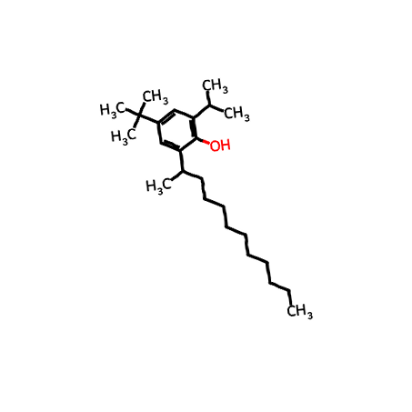 CCCCCCCCCCC(C)c1cc(C(C)(C)C)cc(C(C)C)c1O